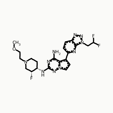 COCCN1CC[C@H](Nc2nc(N)c3c(-c4ccc5nnn(CC(F)F)c5n4)ccn3n2)[C@H](F)C1